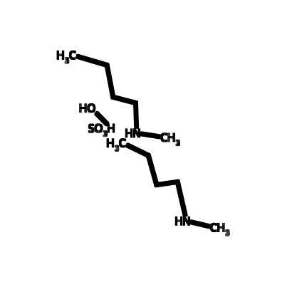 CCCCNC.CCCCNC.O=S(=O)(O)O